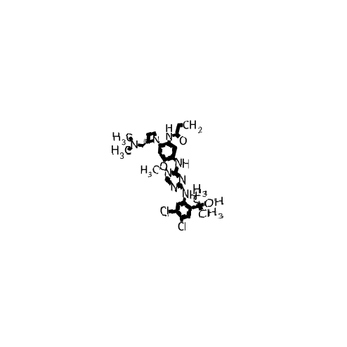 C=CC(=O)Nc1cc(Nc2ncnc(Nc3cc(Cl)c(Cl)cc3C(C)(C)O)n2)c(OC)cc1N1CC[C@@H]1CN(C)C